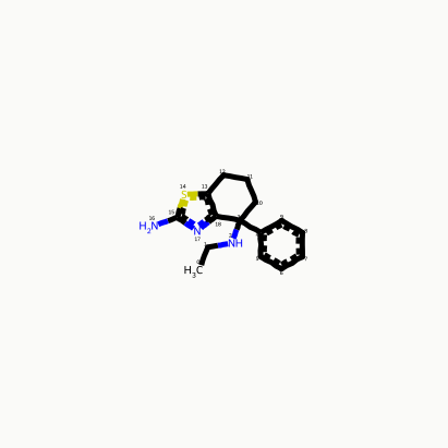 CCNC1(c2ccccc2)CCCc2sc(N)nc21